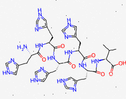 CC(C)[C@H](NC(=O)[C@H](Cc1c[nH]cn1)NC(=O)[C@H](Cc1c[nH]cn1)NC(=O)[C@H](Cc1c[nH]cn1)NC(=O)[C@H](Cc1c[nH]cn1)NC(=O)[C@@H](N)Cc1c[nH]cn1)C(=O)O